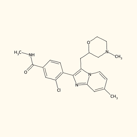 CNC(=O)c1ccc(-c2nc3cc(C)ccn3c2CC2CN(C)CCO2)c(Cl)c1